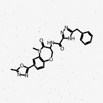 Cc1nnc(-c2ccc3c(c2)N(C)C(=O)C(NC(=O)c2nnc(Cc4ccccc4)[nH]2)CO3)o1